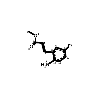 COC(=O)C=Cc1cc(F)ccc1N